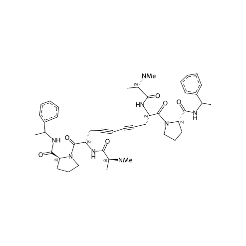 CN[C@@H](C)C(=O)N[C@@H](CC#CC#CC[C@H](NC(=O)[C@H](C)NC)C(=O)N1CCC[C@H]1C(=O)NC(C)c1ccccc1)C(=O)N1CCC[C@H]1C(=O)NC(C)c1ccccc1